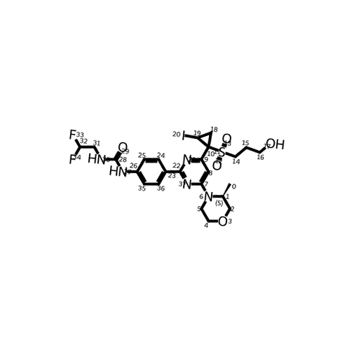 C[C@H]1COCCN1c1cc(C2(S(=O)(=O)CCCO)CC2I)nc(-c2ccc(NC(=O)NCC(F)F)cc2)n1